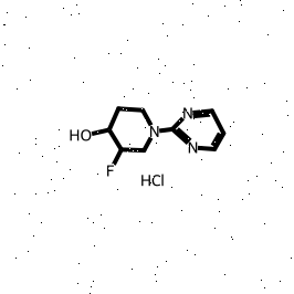 Cl.OC1CCN(c2ncccn2)CC1F